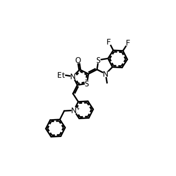 CCn1c(=O)/c(=C2\Sc3c(ccc(F)c3F)N2C)s/c1=C\c1cccc[n+]1Cc1ccccc1